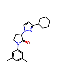 Cc1cc(C)cc(N2CCC(n3ccc(C4CCCCC4)n3)C2=O)c1